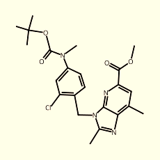 COC(=O)c1cc(C)c2nc(C)n(Cc3ccc(N(C)C(=O)OC(C)(C)C)cc3Cl)c2n1